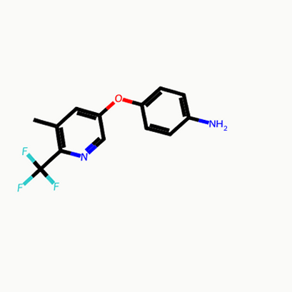 Cc1cc(Oc2ccc(N)cc2)cnc1C(F)(F)F